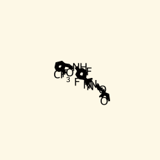 O=C(Cc1cccc(C(F)(F)F)c1F)Nc1cc(F)c(-c2cn(CCOC3CCOC3)nn2)c(F)c1